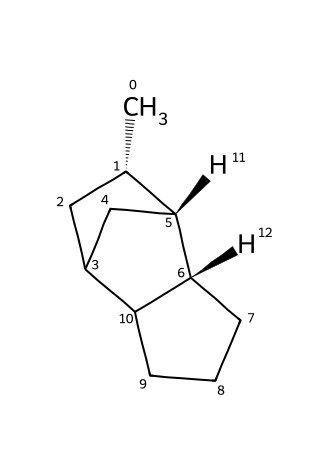 C[C@H]1CC2C[C@H]1[C@@H]1CCCC21